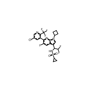 O=S(=O)(NC(c1cn(C2CCC2)c2nc(-c3cc(Cl)cnc3C(F)(F)F)c(F)cc12)C(F)F)C1CC1